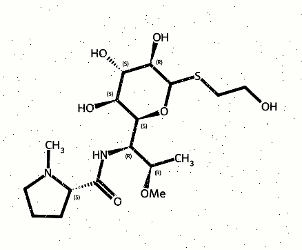 CO[C@H](C)[C@@H](NC(=O)[C@@H]1CCCN1C)[C@@H]1OC(SCCO)[C@H](O)[C@@H](O)[C@@H]1O